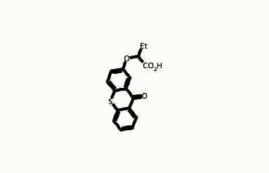 CCC(Oc1ccc2sc3ccccc3c(=O)c2c1)C(=O)O